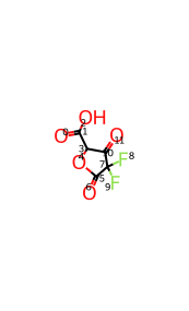 O=C(O)C1OC(=O)C(F)(F)C1=O